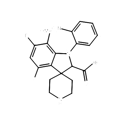 COc1c(F)cc(F)c2c1N(c1ccccc1[N+](=O)[O-])C(C(=O)C(C)(C)C)C21CCNCC1